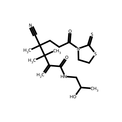 C=C(C(=O)NCC(C)O)C(C)(C)C(C)(C#N)CCC(=O)N1CCSC1=S